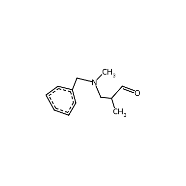 CC(C=O)CN(C)Cc1ccccc1